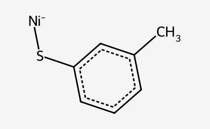 Cc1cccc([S][Ni-])c1